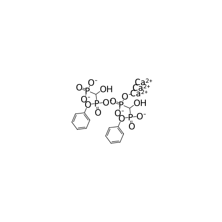 O=P([O-])([O-])C(O)P(=O)([O-])Oc1ccccc1.O=P([O-])([O-])C(O)P(=O)([O-])Oc1ccccc1.[Ca+2].[Ca+2].[Ca+2]